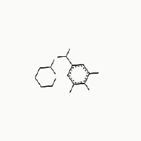 CCC(OC1CCCCO1)c1cc(C(C)(C)C)c(O)c(C(C)(C)C)c1